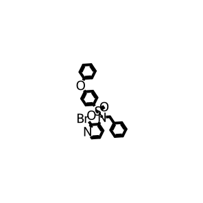 O=S(=O)(c1ccc(Oc2ccccc2)cc1)N(Cc1ccccc1)c1cccnc1Br